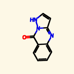 O=c1c2ccccc2nc2cc[nH]n12